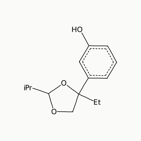 CCC1(c2cccc(O)c2)COC(C(C)C)O1